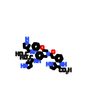 O=C(O)C(Nc1cccc(CC(=O)N(CCOc2cccc(NC(C(=O)O)C3CCNC3)c2)Cc2cccc(NC(C(=O)O)C3CCNC3)c2)c1)C1CCNC1